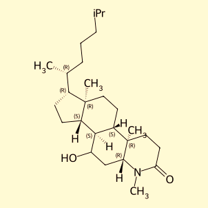 CC(C)CCC[C@@H](C)[C@H]1CC[C@H]2[C@@H]3C(O)C[C@H]4N(C)C(=O)CC[C@]4(C)[C@H]3CC[C@]12C